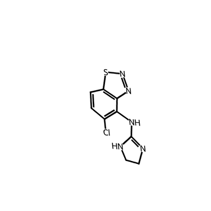 Clc1ccc2snnc2c1NC1=NCCN1